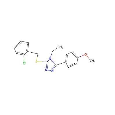 CCn1c(SCc2ccccc2Cl)nnc1-c1ccc(OC)cc1